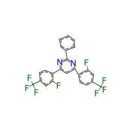 Fc1cc(C(F)(F)F)ccc1-c1cc(-c2ccc(C(F)(F)F)cc2F)nc(-c2ccccc2)n1